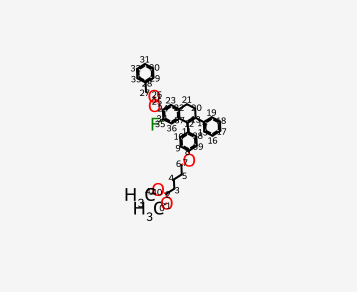 COC(CCCCOc1ccc(C2=C(c3ccccc3)CCc3cc(OOCc4ccccc4)c(F)cc32)cc1)OC